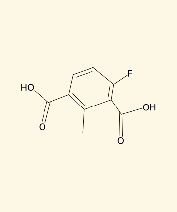 Cc1c(C(=O)O)ccc(F)c1C(=O)O